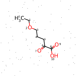 CCOCCCC(=O)C(=O)O